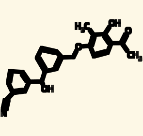 CC(=O)c1ccc(OCc2cccc(C(O)c3cccc(C#N)c3)c2)c(C)c1O